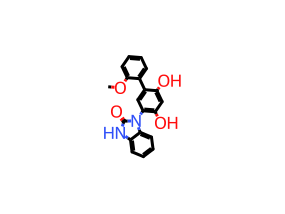 COc1ccccc1-c1cc(-n2c(=O)[nH]c3ccccc32)c(O)cc1O